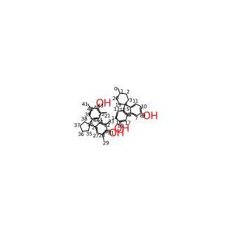 CC1CCC(c2ccc(O)cc2)(c2ccc(O)cc2)CC1.Cc1cc(C2(c3cc(C)c(O)c(C)c3)CCCC2)cc(C)c1O